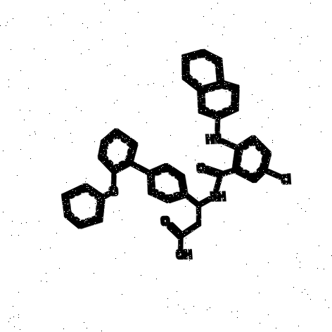 O=C(O)CC(NC(=O)c1cc(Cl)ccc1Nc1ccc2ccccc2c1)c1ccc(-c2ccccc2Oc2ccccc2)cc1